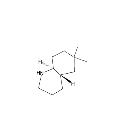 CC1(C)CC[C@@H]2NCCC[C@H]2C1